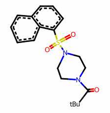 CC(C)(C)C(=O)N1CCN(S(=O)(=O)c2cccc3ccccc23)CC1